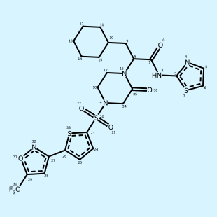 O=C(Nc1nccs1)C(CC1CCCCC1)N1CCN(S(=O)(=O)c2ccc(-c3cc(C(F)(F)F)on3)s2)CC1=O